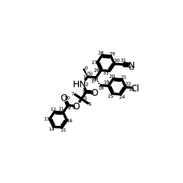 C[C@H](NC(=O)C(C)(C)OC(=O)c1ccccc1)[C@@H](Cc1ccc(Cl)cc1)c1cccc(C#N)c1